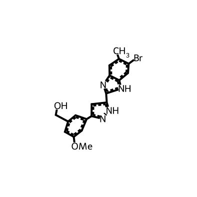 COc1cc(CO)cc(-c2cc(-c3nc4cc(C)c(Br)cc4[nH]3)[nH]n2)c1